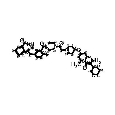 C[C@@H]1C[C@@H](OC2CCN(CC(=O)N3CCN(C(=O)c4cc(Cc5n[nH]c(=O)c6ccccc56)ccc4F)CC3)CC2)CCN1C(=O)[C@H](N)C1CCCCC1